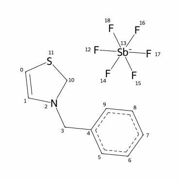 C1=CN(Cc2ccccc2)CS1.[F][Sb-]([F])([F])([F])([F])[F]